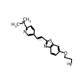 CN(C)c1ccc(/C=C/c2nc3ccc(OCC[18F])cc3s2)cn1